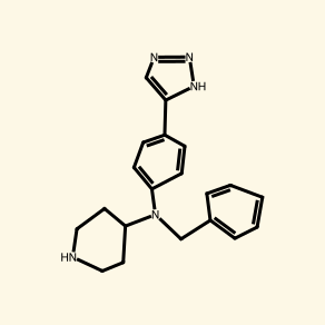 c1ccc(CN(c2ccc(-c3cnn[nH]3)cc2)C2CCNCC2)cc1